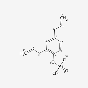 C=CCc1ccc(OP(=O)(Cl)Cl)c(CC=C)c1